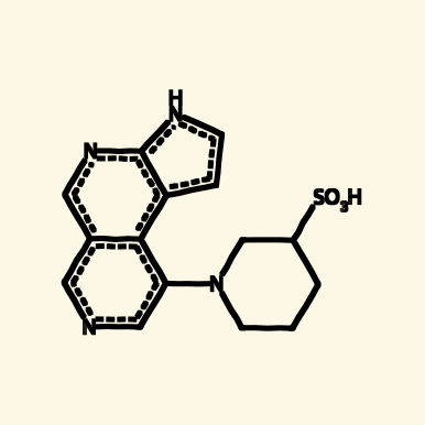 O=S(=O)(O)C1CCCN(c2cncc3cnc4[nH]ccc4c23)C1